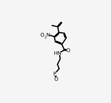 C=C(C)c1ccc(C(=O)NCCCP=O)cc1[N+](=O)[O-]